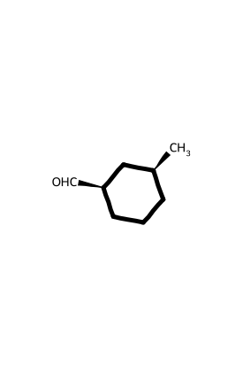 C[C@H]1CCC[C@@H](C=O)C1